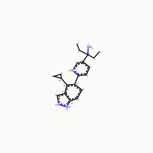 CCC(N)(CC)c1ccc(-c2ccc3[nH]ncc3c2C2CC2)nc1